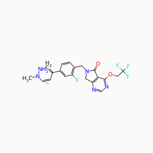 C=C(/C=C\N(C)N)c1ccc(CN2Cc3ncnc(OCC(F)(F)F)c3C2=O)c(F)c1